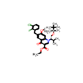 CCOC(=O)c1cn([C@H](CO[Si](C)(C)C(C)(C)C)C(C)C)c2cc(OC)c(Cc3cccc(Cl)c3F)cc2c1=O